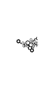 CC(C)CCC(=O)N1C2CCCN(C(=O)OCc3ccccc3)C3C2(O)C32C=Cc3ccccc3[C@@H]2CN1C(=O)C(F)(F)F